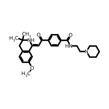 COc1ccc2c(c1)C(=CC(=O)c1ccc(C(=O)NCCN3CCCCC3)cc1)NC(C)(C)C2